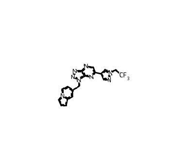 FC(F)(F)Cn1cc(-c2cnc3nnn(Cc4ccn5cccc5c4)c3n2)cn1